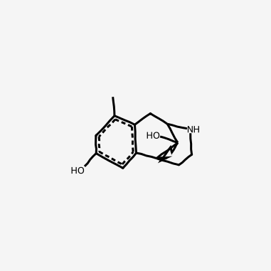 Cc1cc(O)cc2c1CC1NCCC23CCCCC13O